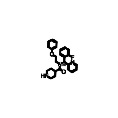 O=C(C1CCNCC1)N(CCOc1ccccc1)[C@H](c1ccccn1)c1ccccc1F